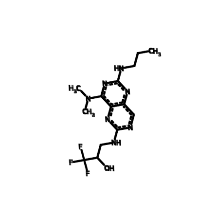 CCCNc1nc(N(C)C)c2nc(NCC(O)C(F)(F)F)ncc2n1